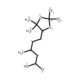 CCC(O)CC(C)CCC1OC(C(F)(F)F)(C(F)(F)F)OC1(C)C